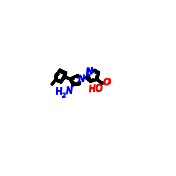 Cc1cccc(-c2cn(-c3cc(C(=O)O)ccn3)cc2N)c1